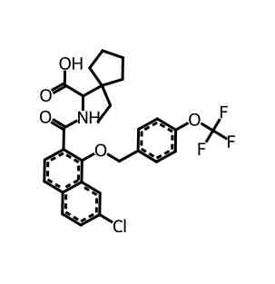 CCC1(C(NC(=O)c2ccc3ccc(Cl)cc3c2OCc2ccc(OC(F)(F)F)cc2)C(=O)O)CCCC1